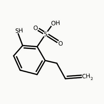 C=CCc1cccc(S)c1S(=O)(=O)O